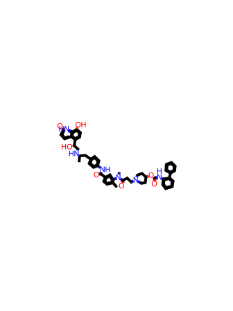 Cc1ccc(C(=O)Nc2ccc(CC(C)NC[C@H](O)c3ccc(O)c4[nH]c(=O)ccc34)cc2)cc1N(C)C(=O)CCN1CCC(OC(=O)Nc2ccccc2-c2ccccc2)CC1